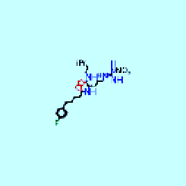 CC(C)C[CH]NC(=O)[C@H](CCCNC(=N)N[N+](=O)[O-])NC(=O)CCCCc1ccc(F)cc1